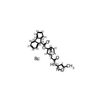 Cc1cc(NC(=O)C[N+]23CCC(CC2)C(OC(=O)C2c4ccccc4-c4ccccc42)C3)no1.[Br-]